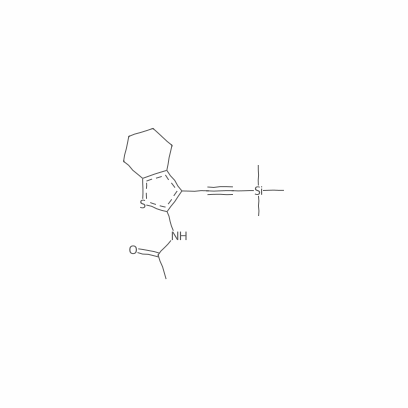 CC(=O)Nc1sc2c(c1C#C[Si](C)(C)C)CCCC2